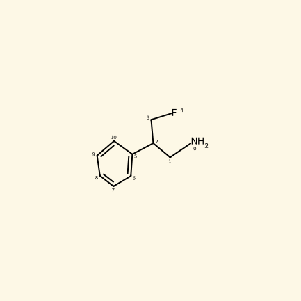 NCC(CF)c1ccccc1